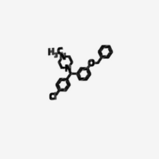 CN1CCN(C(c2ccc(Cl)cc2)c2cccc(OCc3ccccc3)c2)CC1